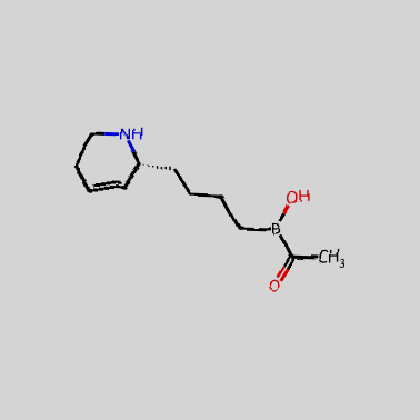 CC(=O)B(O)CCCC[C@@H]1C=CCCN1